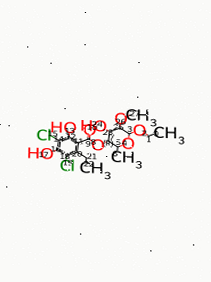 CCOC1OC(C)[C@H](OC(=O)c2c(O)c(Cl)c(O)c(Cl)c2CC)C(O)C1OC